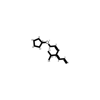 C=C/C=C(\C=C/COC1CCCC1)C(C)C